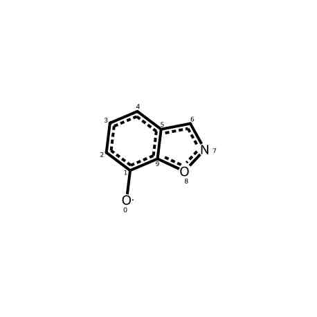 [O]c1cccc2cnoc12